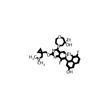 CCc1c(F)ccc2cc(O)cc(-c3ncc4c(N5CCOC[C@](O)(CC)C5)nc(OCC5(CN(C)C)CC5)nc4c3F)c12